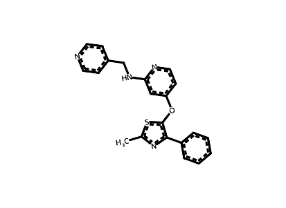 Cc1nc(-c2ccccc2)c(Oc2ccnc(NCc3ccncc3)c2)s1